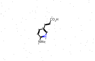 CNc1ccc(C=CC(=O)O)cn1